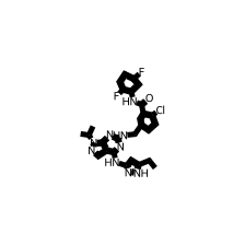 CCc1cc(Nc2nc(NCc3ccc(Cl)c(C(=O)Nc4cc(F)ccc4F)c3)nc3c2cnn3C(C)C)n[nH]1